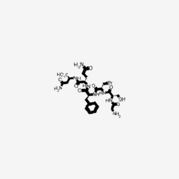 CC(C)C[C@H](NC(=O)[C@H](CO)NC(=O)CN)C(=O)N[C@@H](Cc1ccccc1)C(=O)N[C@@H](CCC(N)=O)C(=O)N[C@@H](CC(N)=O)C(=O)O